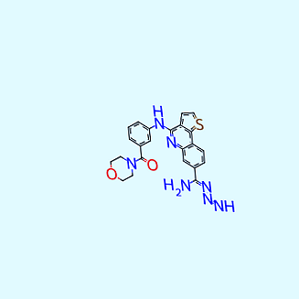 N=N/N=C(\N)c1ccc2c(c1)nc(Nc1cccc(C(=O)N3CCOCC3)c1)c1ccsc12